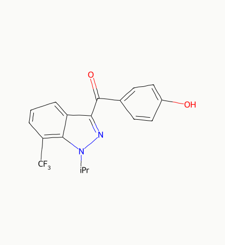 CC(C)n1nc(C(=O)c2ccc(O)cc2)c2cccc(C(F)(F)F)c21